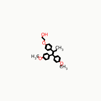 CCC(=C(c1ccc(OC)cc1)c1ccc(OC)cc1)c1ccc(OCCO)cc1